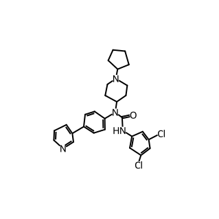 O=C(Nc1cc(Cl)cc(Cl)c1)N(c1ccc(-c2cccnc2)cc1)C1CCN(C2CCCC2)CC1